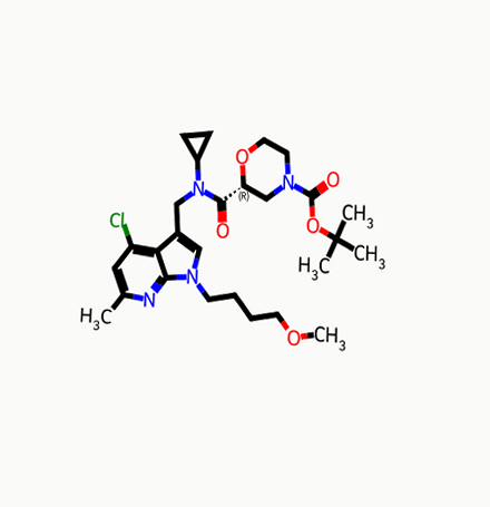 COCCCCn1cc(CN(C(=O)[C@H]2CN(C(=O)OC(C)(C)C)CCO2)C2CC2)c2c(Cl)cc(C)nc21